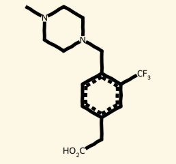 CN1CCN(Cc2ccc(CC(=O)O)cc2C(F)(F)F)CC1